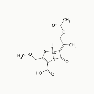 COCC1=C(C(=O)O)N2C(=O)C(=C(C)COC(C)=O)[C@H]2S1